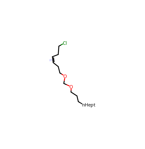 CCCCCCCCCCOCOCC/C=C\CCCl